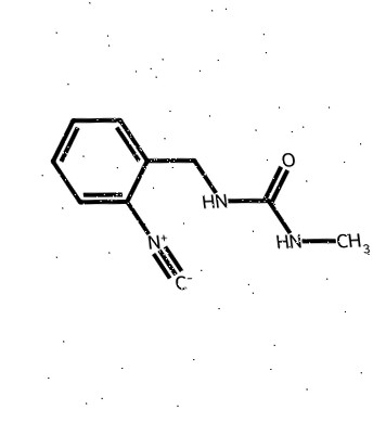 [C-]#[N+]c1ccccc1CNC(=O)NC